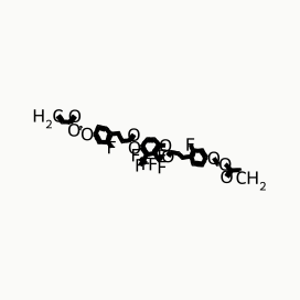 C=CC(=O)OCOc1ccc(CCC(=O)Oc2ccc(OC(=O)CCc3ccc(OCOC(=O)C=C)cc3F)c(C(F)(F)F)c2C(F)(F)F)c(F)c1